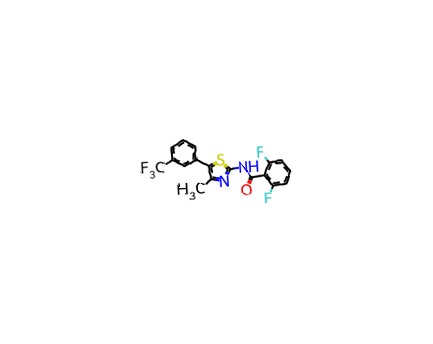 Cc1nc(NC(=O)c2c(F)cccc2F)sc1-c1cccc(C(F)(F)F)c1